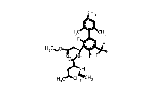 C=CNC(CC(C)C)C(=O)N[C@@H](CC(=O)OCC)c1c(F)c(-c2c(C)cc(C)cc2C)cc(C(F)(F)F)c1F